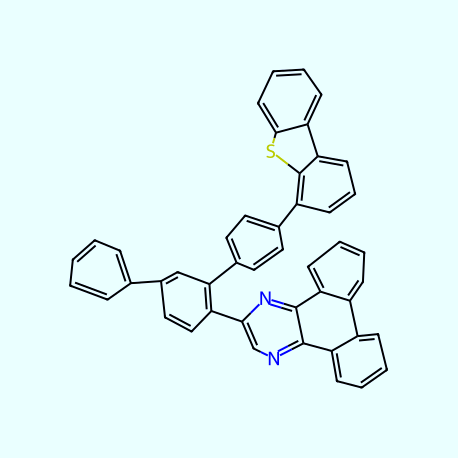 c1ccc(-c2ccc(-c3cnc4c5ccccc5c5ccccc5c4n3)c(-c3ccc(-c4cccc5c4sc4ccccc45)cc3)c2)cc1